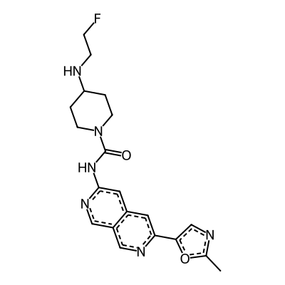 Cc1ncc(-c2cc3cc(NC(=O)N4CCC(NCCF)CC4)ncc3cn2)o1